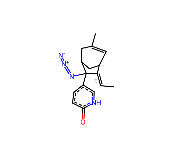 C/C=C1\C2C=C(C)CC(C2)C1(N=[N+]=[N-])c1ccc(=O)[nH]c1